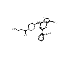 Bc1cnn2c(NC3CCN(C(=O)CCC(C)C)CC3)cc(-c3ccccc3O)nc12